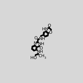 C[C@@H](CO)Nc1cccc2nc(C(=O)NCc3ccc4c(c3)NC(=O)CO4)[nH]c(=O)c12